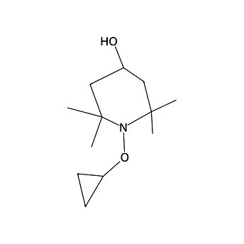 CC1(C)CC(O)CC(C)(C)N1OC1CC1